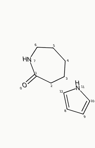 O=C1CCCCCN1.c1cc[nH]c1